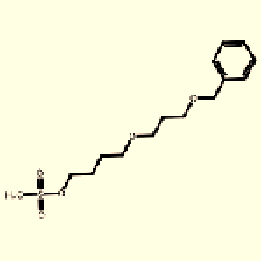 CS(=O)(=O)OCCCCOCCCOCc1ccccc1